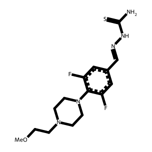 COCCN1CCN(c2c(F)cc(/C=N/NC(N)=S)cc2F)CC1